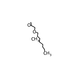 C.CCCCCCCCOCC1CO1